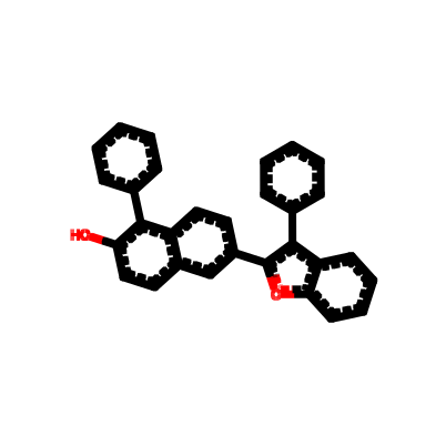 Oc1ccc2cc(-c3oc4ccccc4c3-c3ccccc3)ccc2c1-c1ccccc1